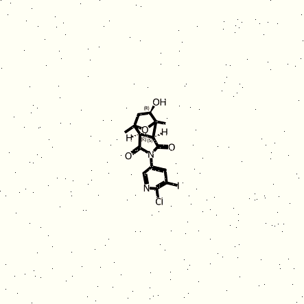 CC12C[C@@H](O)C(C)(O1)[C@H]1C(=O)N(c3cnc(Cl)c(I)c3)C(=O)[C@H]12